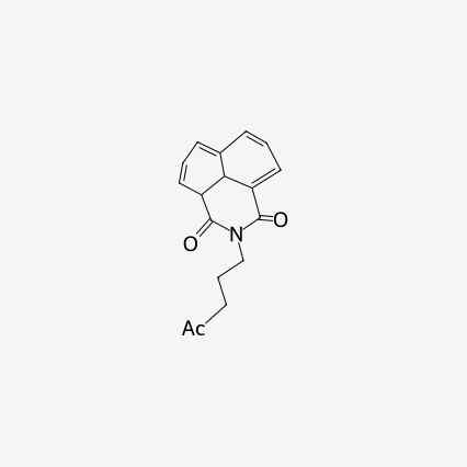 CC(=O)CCCN1C(=O)C2=CC=CC3=CC=CC(C1=O)C32